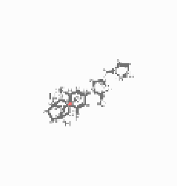 O=C1O[C@@H](Cn2ccnn2)CN1c1cc(F)c(N2[C@@H]3CC[C@H]2C[S+]([O-])C3)c(F)c1